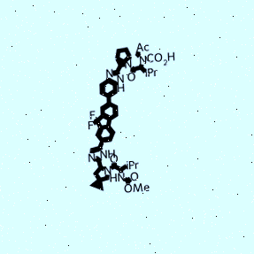 COC(=O)NC(C(=O)N1CC2(CC2)CC1c1ncc(-c2ccc3c(c2)C(F)(F)c2cc(-c4ccc5nc(C6C7CCC(C7)N6C(=O)C(C(C)C)N(CC(C)=O)C(=O)O)[nH]c5c4)ccc2-3)[nH]1)C(C)C